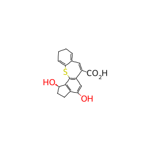 O=C(O)C1=CC2=CCCC=C2Sc2c1cc(O)c1c2[C@H](O)CC1